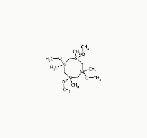 CO[Si]1(C)C[Si](C)(OC)C[Si](C)(OC)C[Si](C)(OC)C1